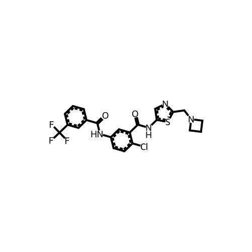 O=C(Nc1ccc(Cl)c(C(=O)Nc2cnc(CN3CCC3)s2)c1)c1cccc(C(F)(F)F)c1